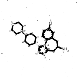 NC1Cc2cc(Cl)ccc2-n2c(nnc2[C@H]2CC[C@H](N3CCOCC3)CC2)C1